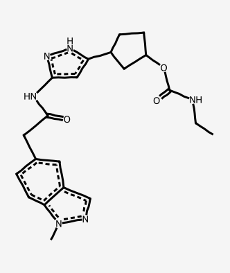 CCNC(=O)OC1CCC(c2cc(NC(=O)Cc3ccc4c(cnn4C)c3)n[nH]2)C1